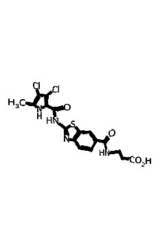 Cc1[nH]c(C(=O)Nc2nc3ccc(C(=O)NCCC(=O)O)cc3s2)c(Cl)c1Cl